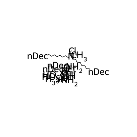 CCCCCCCCCCCCCCCCCC[N+](C)(CCl)CCCCCCCCCCCCCCCCCC.CCCCCCCCCCN.CCCCCCCCCCN(OCC)OCC.N[SiH3].O=S(=O)(O)O.O=S(=O)([O-])O